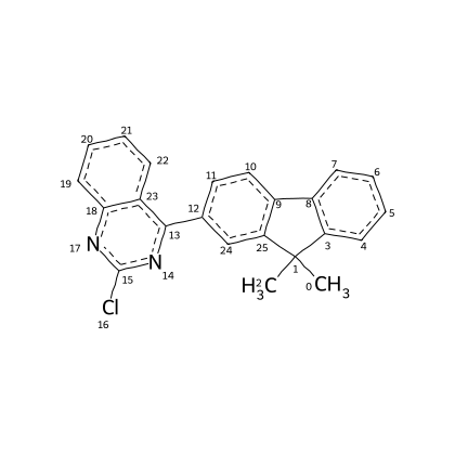 CC1(C)c2ccccc2-c2ccc(-c3nc(Cl)nc4ccccc34)cc21